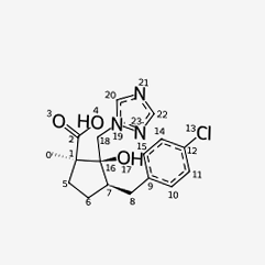 C[C@@]1(C(=O)O)CC[C@H](Cc2ccc(Cl)cc2)[C@@]1(O)Cn1cncn1